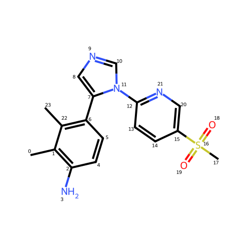 Cc1c(N)ccc(-c2cncn2-c2ccc(S(C)(=O)=O)cn2)c1C